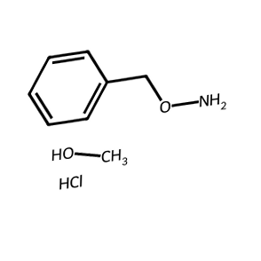 CO.Cl.NOCc1ccccc1